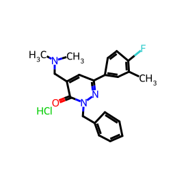 Cc1cc(-c2cc(CN(C)C)c(=O)n(Cc3ccccc3)n2)ccc1F.Cl